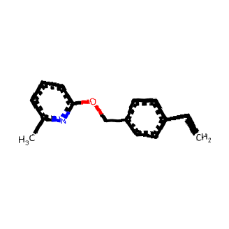 C=Cc1ccc(COc2cccc(C)n2)cc1